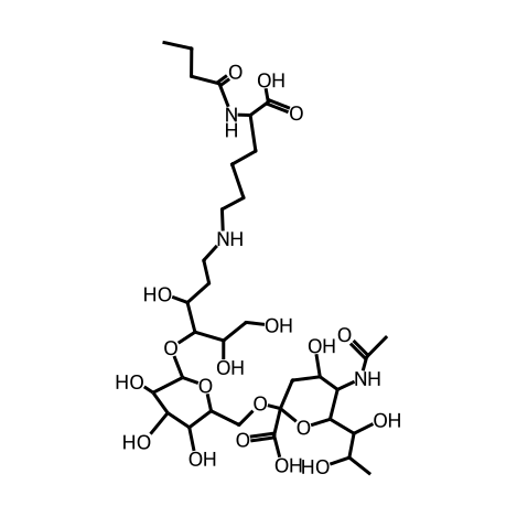 CCCC(=O)NC(CCCCNCCC(O)C(OC1OC(COC2(C(=O)O)CC(O)C(NC(C)=O)C(C(O)C(C)O)O2)C(O)C(O)C1O)C(O)CO)C(=O)O